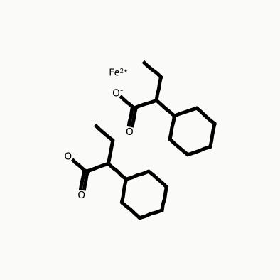 CCC(C(=O)[O-])C1CCCCC1.CCC(C(=O)[O-])C1CCCCC1.[Fe+2]